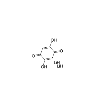 O=C1C=C(O)C(=O)C=C1O.[LiH].[LiH]